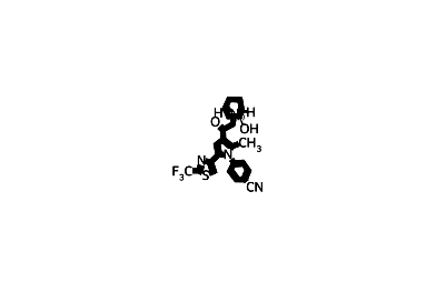 Cc1c(C(=O)CN2[C@H]3CC[C@@H]2[C@H](O)C3)cc(-c2csc(C(F)(F)F)n2)n1-c1ccc(C#N)cc1